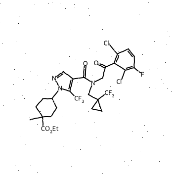 CCOC(=O)C1(C)CCC(n2ncc(C(=O)N(CC(=O)c3c(Cl)ccc(F)c3Cl)CC3(C(F)(F)F)CC3)c2C(F)(F)F)CC1